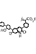 CCOC(=O)C(c1cccc(-c2cc3cc(-c4ccc(-c5ccccc5)c(O)c4)c(Cl)cc3[nH]c2=O)c1)N(C)C